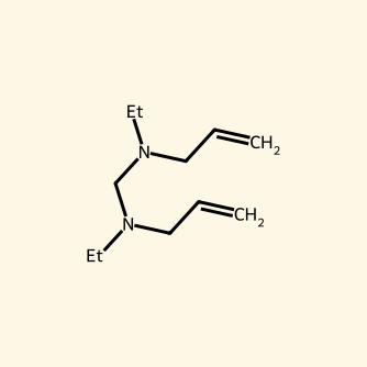 C=CCN(CC)CN(CC)CC=C